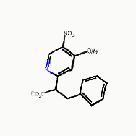 CCOC(=O)C(Cc1ccccc1)c1cc(OC)c([N+](=O)[O-])cn1